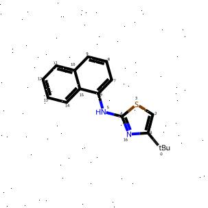 CC(C)(C)c1csc(Nc2cccc3ccccc23)n1